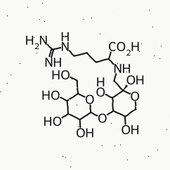 N=C(N)NCCCC(NC[C@]1(O)OCC(O)C(OC2OC(CO)C(O)C(O)C2O)C1O)C(=O)O